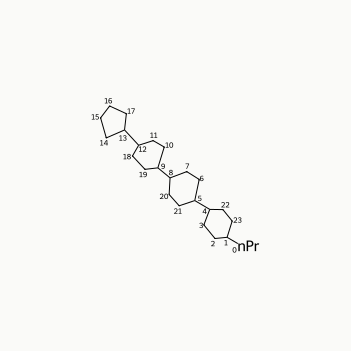 CCCC1CCC(C2CCC(C3CCC(C4CCCC4)CC3)CC2)CC1